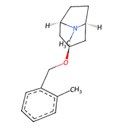 Cc1ccccc1CO[C@H]1C[C@H]2CC[C@@H](C1)N2C